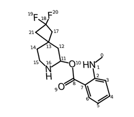 CNc1ccccc1C(=O)OC1CC2(CCN1)CC(F)(F)C2